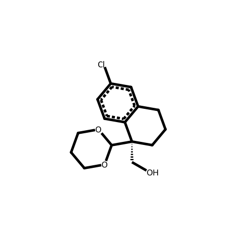 OC[C@@]1(C2OCCCO2)CCCc2cc(Cl)ccc21